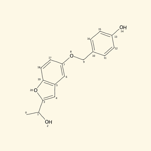 CC(O)c1cc2cc(OCc3ccc(O)cc3)ccc2o1